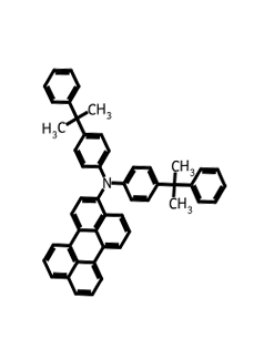 CC(C)(c1ccccc1)c1ccc(N(c2ccc(C(C)(C)c3ccccc3)cc2)c2ccc3c4cccc5cccc(c6cccc2c63)c54)cc1